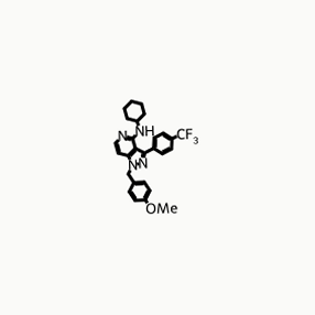 COc1ccc(Cn2nc(-c3ccc(C(F)(F)F)cc3)c3c(NC4CCCCC4)nccc32)cc1